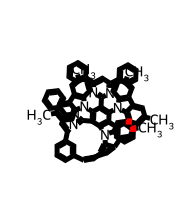 Cc1ccc2c(c1)c1cc(C)ccc1n2-c1c(-c2nc(-c3ccccc3)cc(-c3ccccc3)n2)c(-n2c3ccc(C)cc3c3cc(C)ccc32)c2c3nc(-c4ccccc4)cc(n3)c3cccc(c3)c3ccc4c(c3)c3cc(C)ccc3n4c2c1-c1ccccc1